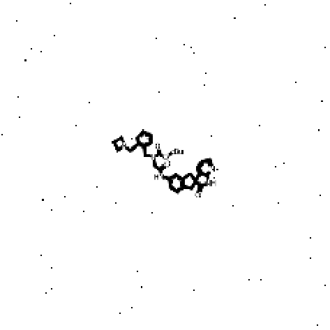 CC(C)(C)OC(=O)N(CC(=O)Nc1ccc2c(c1)CC1(C2)C(=O)Nc2ncccc21)Cc1ccccc1CN1CCC1